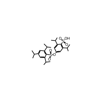 CC(C)c1cc(C(C)C)c(S(=O)(=O)Oc2cc(C(C)C)c(S(=O)(=O)O)c(C(C)C)c2)c(C(C)C)c1